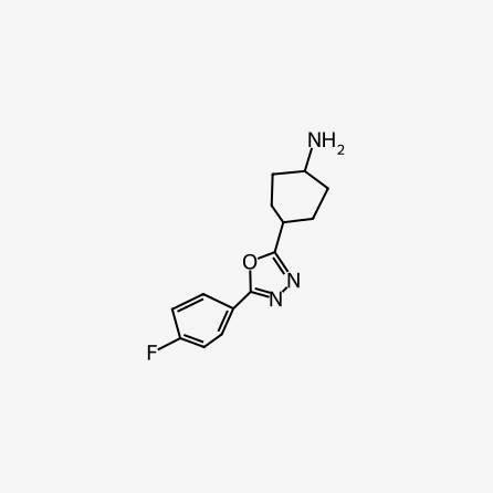 NC1CCC(c2nnc(-c3ccc(F)cc3)o2)CC1